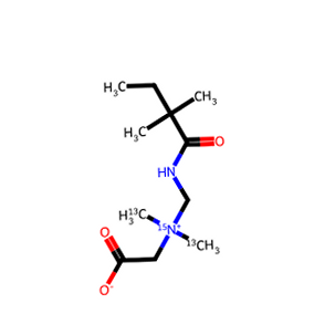 CCC(C)(C)C(=O)NC[15N+]([13CH3])([13CH3])CC(=O)[O-]